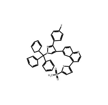 CS(=O)(=O)c1ccc(-c2ccnc3ccc(-c4cn(C(c5ccccc5)(c5ccccc5)C5C=CC=CC5)nc4-c4ccc(F)cc4)cc23)s1